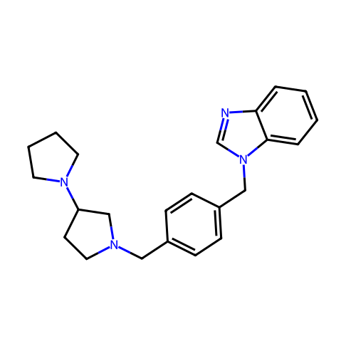 c1ccc2c(c1)ncn2Cc1ccc(CN2CCC(N3CCCC3)C2)cc1